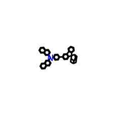 c1ccc2c(c1)-c1cc(-c3ccc(N(c4ccc5ccccc5c4)c4ccc5ccccc5c4)cc3)ccc1C21C2CC3CC(C2)CC1C3